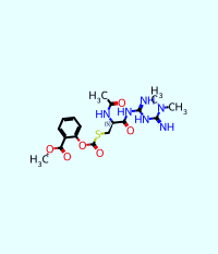 COC(=O)c1ccccc1OC(=O)SC[C@@H](NC(C)=O)C(=O)NC(=N)NC(=N)N(C)C